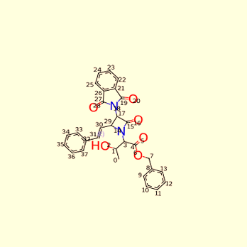 CC(O)C(C(=O)OCc1ccccc1)N1C(=O)C(N2C(=O)c3ccccc3C2=O)C1/C=C/c1ccccc1